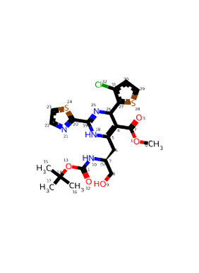 COC(=O)C1=C(C[C@@H](CO)NC(=O)OC(C)(C)C)NC(c2nccs2)=NC1c1sccc1Cl